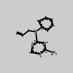 C=CCN(c1ccccc1)c1ncnc(N)n1